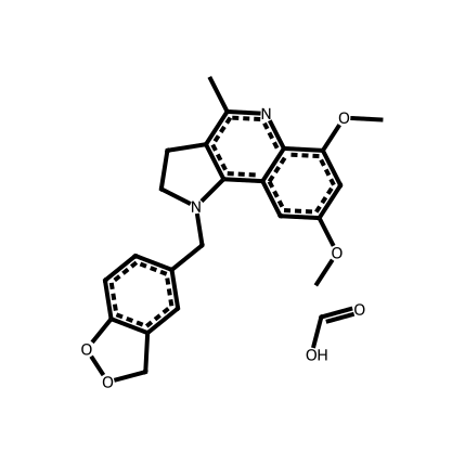 COc1cc(OC)c2nc(C)c3c(c2c1)N(Cc1ccc2c(c1)COO2)CC3.O=CO